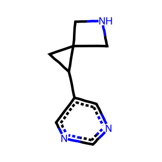 c1ncc(C2CC23CNC3)cn1